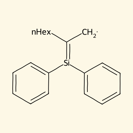 [CH2]C(CCCCCC)=[Si](c1ccccc1)c1ccccc1